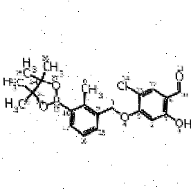 Cc1c(COc2cc(O)c(C=O)cc2Cl)cccc1B1OC(C)(C)C(C)(C)O1